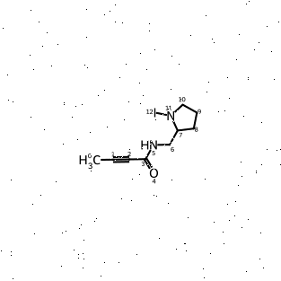 CC#CC(=O)NCC1CCCN1I